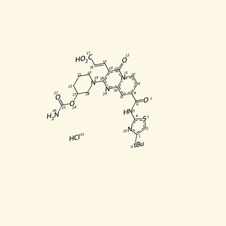 CC(C)(C)c1csc(NC(=O)c2ccn3c(=O)c(C=CC(=O)O)c(N4CCCC(OC(N)=O)C4)nc3c2)n1.Cl